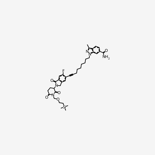 Cc1nn(CCCCCCCC#Cc2cc3c(cc2F)C(=O)N(C2CCC(=O)N(COCC[Si](C)(C)C)C2=O)C3)c2cc(C(N)=O)ccc12